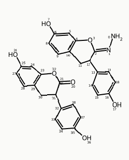 NN=C1Oc2cc(O)ccc2CC1c1ccc(O)cc1.O=C1Oc2cc(O)ccc2CC1c1ccc(O)cc1